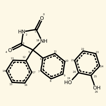 O=C1NC(=O)C(c2ccccc2)(c2ccccc2)N1.Oc1ccccc1O